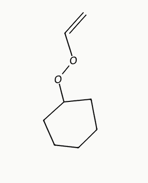 C=COOC1CCCCC1